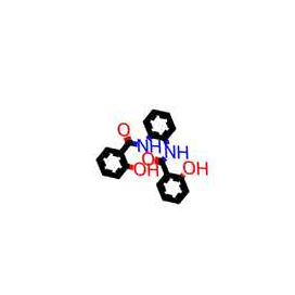 O=C(Nc1ccccc1NC(=O)c1ccccc1O)c1ccccc1O